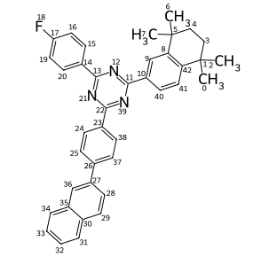 CC1(C)CCC(C)(C)c2cc(-c3nc(-c4ccc(F)cc4)nc(-c4ccc(-c5ccc6ccccc6c5)cc4)n3)ccc21